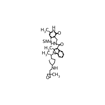 CSc1cc(C)[nH]c(=O)c1CNC(=O)c1c(C)n([C@H](C)[C@H]2CC[C@@H](NCC3(C)COC3)CC2)c2ccccc12